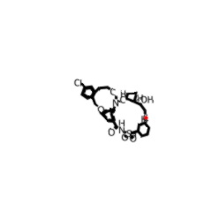 O=C1NS(=O)(=O)[C@H]2CCC[C@H](CC[C@H](O)[C@@H]3CC[C@H]3CN3CCCCc4cc(Cl)ccc4COc4ccc1cc43)C2